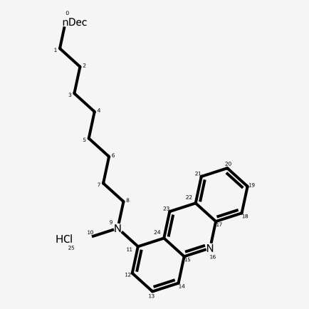 CCCCCCCCCCCCCCCCCCN(C)c1cccc2nc3ccccc3cc12.Cl